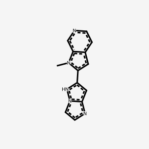 Cn1c(-c2cc3nccn3[nH]2)cc2ccncc21